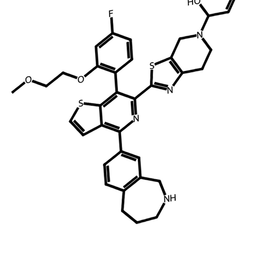 C=CC(O)N1CCc2nc(-c3nc(-c4ccc5c(c4)CNCCC5)c4ccsc4c3-c3ccc(F)cc3OCCOC)sc2C1